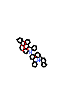 c1cc(-c2ccc3ccccc3c2)cc(N(c2ccc(-c3ccccc3-n3c4ccccc4c4ccc5ccccc5c43)cc2)c2ccccc2-c2cc3ccccc3c3ccccc23)c1